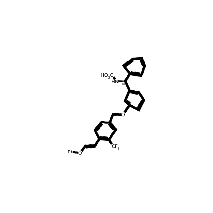 CCOC=Cc1ccc(COc2cccc([C@@H](NC(=O)O)c3ccccc3)c2)cc1C(F)(F)F